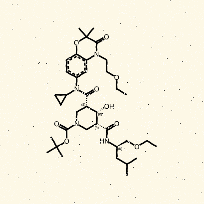 CCOCCN1C(=O)C(C)(C)Oc2ccc(N(C(=O)[C@H]3CN(C(=O)OC(C)(C)C)C[C@@H](C(=O)N[C@@H](COCC)CC(C)C)[C@H]3O)C3CC3)cc21